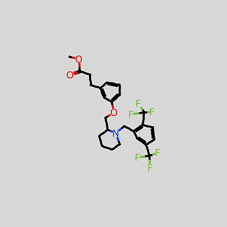 COC(=O)CCc1cccc(OCC2CCCCN2Cc2cc(C(F)(F)F)ccc2C(F)(F)F)c1